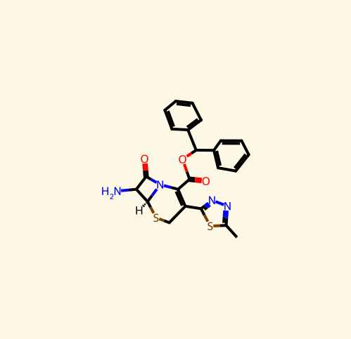 Cc1nnc(C2=C(C(=O)OC(c3ccccc3)c3ccccc3)N3C(=O)C(N)[C@@H]3SC2)s1